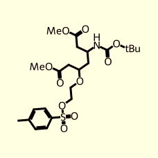 COC(=O)CC(CC(CC(=O)OC)OCCOS(=O)(=O)c1ccc(C)cc1)NC(=O)OC(C)(C)C